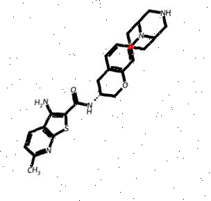 Cc1ccc2c(N)c(C(=O)N[C@H]3COc4cc(N5C6CNCC5COC6)ccc4C3)sc2n1